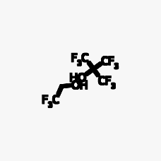 OC(C(F)(F)F)(C(F)(F)F)C(F)(F)F.OCC(F)(F)F